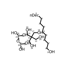 CCCCCCCCCCCCCCCCCCO.OCC(CO)(CO)CO.OP(O)OP(O)O